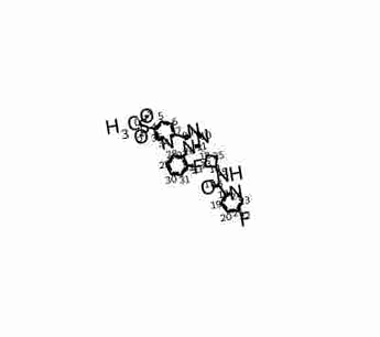 CS(=O)(=O)c1ccc(-c2nnc([C@H]3C[C@H](NC(=O)c4ccc(F)cn4)C3)n2-c2ccccc2F)nc1